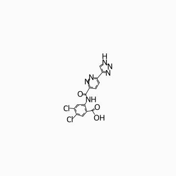 O=C(Nc1cc(Cl)c(Cl)cc1C(=O)O)c1ccc(-c2c[nH]nn2)nn1